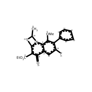 CCOC(=O)c1c2n(c3c(OC)c(-c4ccccc4)c(F)cc3c1=O)C(C)S2